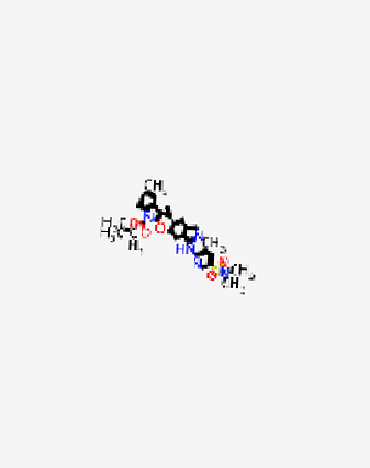 Cc1ccc2c(c1)[C@]1(C[C@H]1c1ccc3c(c1)CN=C3Nc1ncc(S(=O)(=O)N(C)C)cc1C)C(=O)N2C(=O)OC(C)(C)C